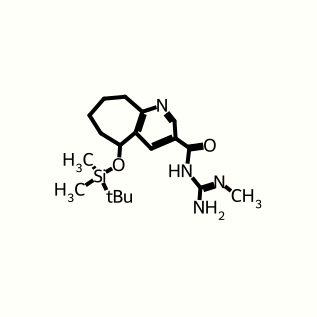 CN=C(N)NC(=O)c1cnc2c(c1)C(O[Si](C)(C)C(C)(C)C)CCCC2